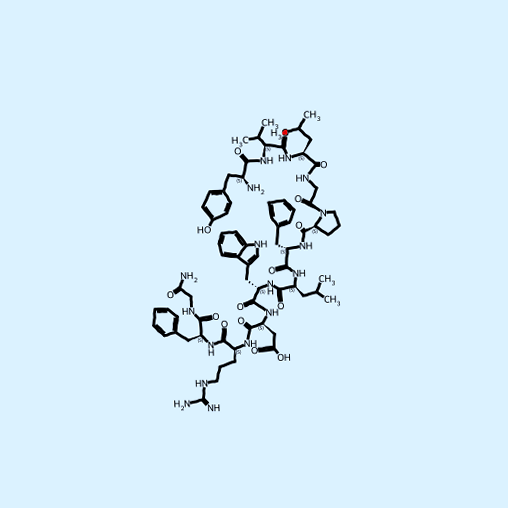 CC(C)C[C@H](NC(=O)[C@H](Cc1ccccc1)NC(=O)[C@@H]1CCCN1C(=O)CNC(=O)[C@H](CC(C)C)NC(=O)[C@@H](NC(=O)[C@@H](N)Cc1ccc(O)cc1)C(C)C)C(=O)N[C@@H](Cc1c[nH]c2ccccc12)C(=O)N[C@@H](CC(=O)O)C(=O)N[C@@H](CCCNC(=N)N)C(=O)N[C@@H](Cc1ccccc1)C(=O)NCC(N)=O